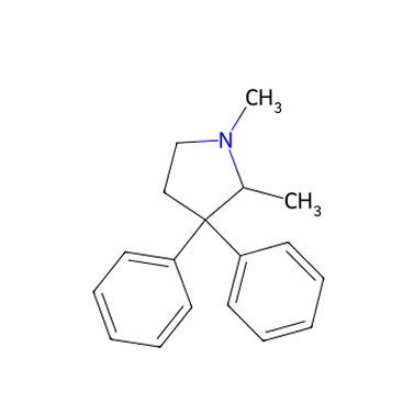 CC1N(C)CCC1(c1ccccc1)c1ccccc1